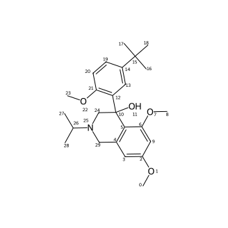 COc1cc2c(c(OC)c1)C(O)(c1cc(C(C)(C)C)ccc1OC)CN(C(C)C)C2